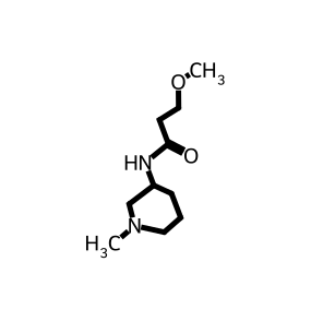 COCCC(=O)NC1CCCN(C)C1